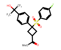 COC(=O)C1CC(c2ccc(C(O)(C(F)(F)F)C(F)(F)F)cc2)(S(=O)(=O)c2ccc(F)cc2)C1